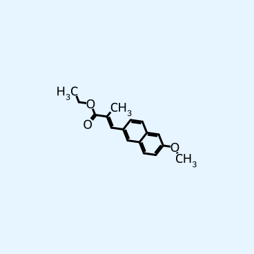 CCOC(=O)/C(C)=C/c1ccc2cc(OC)ccc2c1